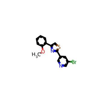 COc1ccccc1-c1csc(-c2cncc(Br)c2)n1